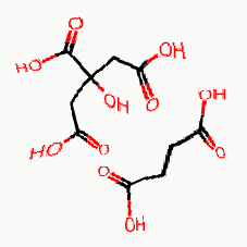 O=C(O)CC(O)(CC(=O)O)C(=O)O.O=C(O)CCC(=O)O